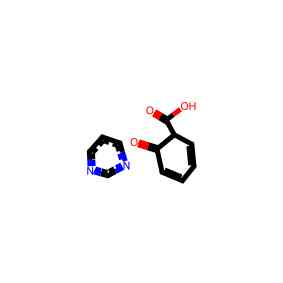 O=C(O)C1C=CC=CC1=O.c1cncnc1